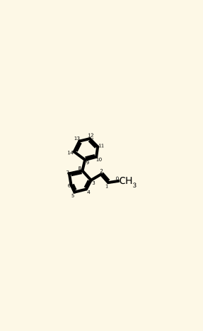 CC=Cc1ccccc1-c1cc[c]cc1